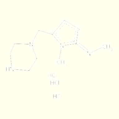 C/N=c1\scc(CN2CCNCC2)n1C.Cl.Cl.Cl